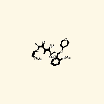 CN/C=C\O[C@@H](C)C(=O)/C(C)=C(\S)N(C=O)C[C@H](OC1CCOCC1)c1ccccc1OC